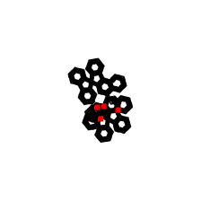 c1ccc(N(c2ccc3c(c2)C2(c4ccccc4-3)c3ccccc3-c3c2cc(N(c2ccccc2)c2ccccc2)c2ccccc32)c2cccc3c2C2(c4ccccc4-c4ccccc42)c2ccccc2-3)cc1